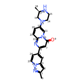 Cc1cc2cc(-c3cc(=O)n4cc(N5CCN[C@H](C)C5)ccc4n3)ccn2n1